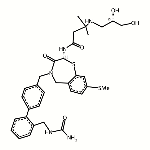 CSc1ccc2c(c1)S[C@@H](NC(=O)CC(C)(C)NC[C@H](O)CO)C(=O)N(Cc1ccc(-c3ccccc3CNC(N)=O)cc1)C2